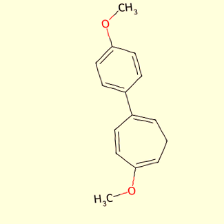 COC1=CCC=C(c2ccc(OC)cc2)C=C1